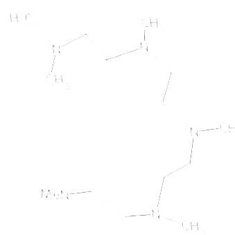 CNCCN(C)CCN(C)CCN(C)CCN(C)C